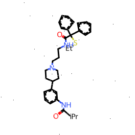 CCSC(C(=O)NCCCN1CCC(c2cccc(NC(=O)C(C)C)c2)CC1)(c1ccccc1)c1ccccc1